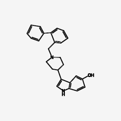 Oc1ccc2[nH]cc(C3CCN(Cc4ccccc4-c4ccccc4)CC3)c2c1